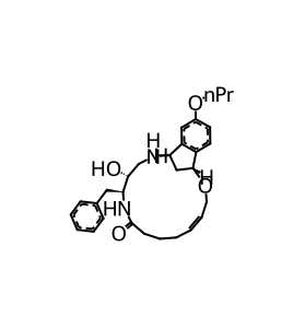 CCCOc1ccc2c(c1)[C@@H]1C[C@H]2OC/C=C\CCCC(=O)N[C@@H](Cc2ccccc2)[C@H](O)CN1